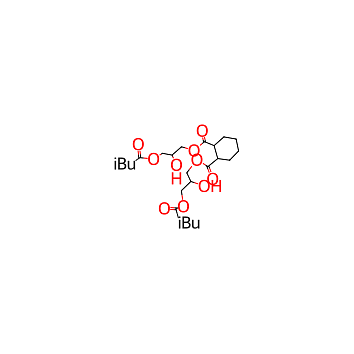 CCC(C)C(=O)OCC(O)COC(=O)C1CCCCC1C(=O)OCC(O)COC(=O)C(C)CC